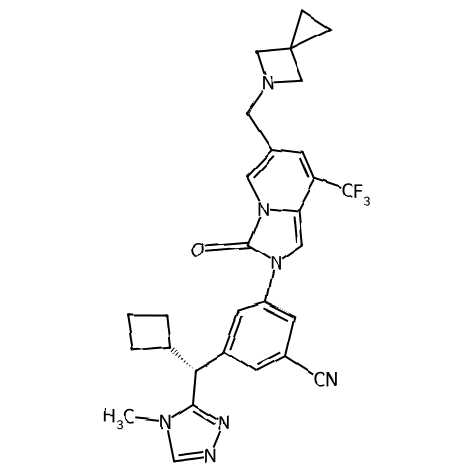 Cn1cnnc1[C@@H](c1cc(C#N)cc(-n2cc3c(C(F)(F)F)cc(CN4CC5(CC5)C4)cn3c2=O)c1)C1CCC1